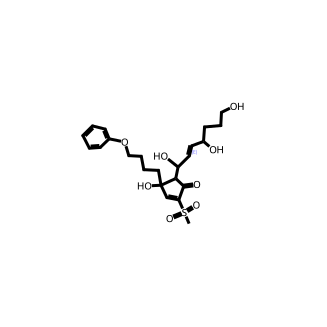 CS(=O)(=O)C1=CC(O)(CCCCOc2ccccc2)C(C(O)/C=C/C(O)CCCO)C1=O